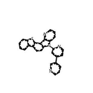 c1cncc(-c2ccnc(-n3c4cccnc4c4c5sc6ccccc6c5ccc43)c2)c1